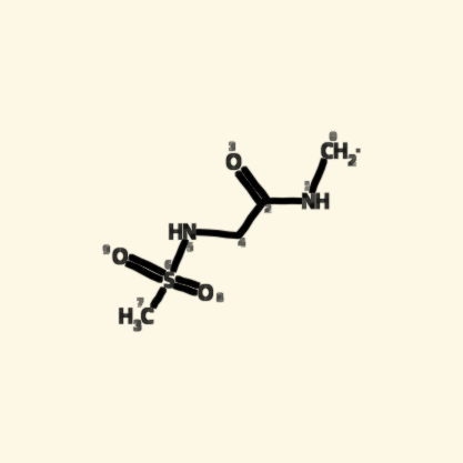 [CH2]NC(=O)CNS(C)(=O)=O